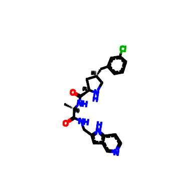 C[C@H](NC(=O)[C@H]1C[C@H](Cc2cccc(Cl)c2)CN1)C(=O)NCc1cc2cnccc2[nH]1